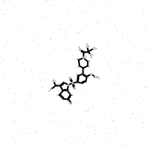 COc1ccc(S(=O)(=O)n2cc(C(F)F)c3ccc(F)cc32)cc1C1CCN(C(=O)C(Cl)(Cl)Cl)CC1